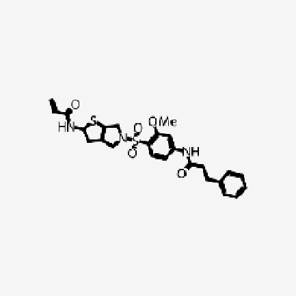 C=CC(=O)NC1CC2CN(S(=O)(=O)c3ccc(NC(=O)CCc4ccccc4)cc3OC)CC2S1